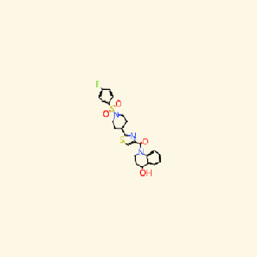 O=C(c1csc(C2CCN(S(=O)(=O)c3ccc(F)cc3)CC2)n1)N1CCC(O)C2CCCC=C21